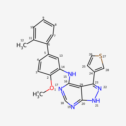 COc1ccc(-c2ccccc2C)cc1Nc1ncnc2[nH]nc(-c3ccsc3)c12